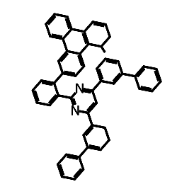 CC1CC=Cc2c1c1ccc(-c3ccccc3-c3nc(C4=CC(c5ccccc5)=CCC4)cc(-c4cccc(-c5ccccc5)c4)n3)cc1c1ccccc21